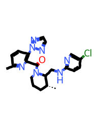 Cc1ccc(-n2nccn2)c(C(=O)N2CCC[C@@H](C)C2CNc2ccc(Cl)cn2)n1